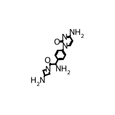 Nc1ccn(-c2ccc(C(N)C(=O)N3CC(N)C3)cc2)c(=O)n1